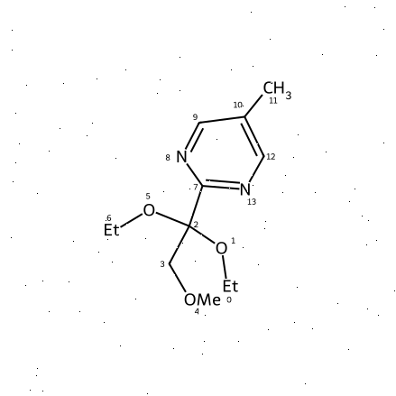 CCOC(COC)(OCC)c1ncc(C)cn1